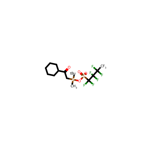 CC(C)(C)S(C)(CC(=O)C1CCCCC1)OS(=O)(=O)C(F)(F)C(F)(F)C(F)(F)C(F)(F)F